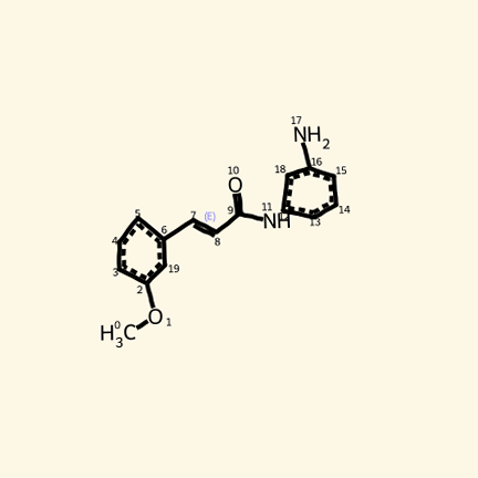 COc1cccc(/C=C/C(=O)Nc2cccc(N)c2)c1